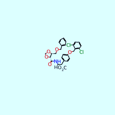 O=C(O)C(Cc1ccc(OCc2c(Cl)cccc2Cl)cc1)NC(=O)[C@@H]1OCO[C@H]1COCc1ccccc1